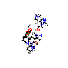 CCOC(=O)C1=C(COCCn2c(C)nc3cnccc32)NC(C)=C(C(=O)Nc2ccccn2)C1c1ccccc1Cl